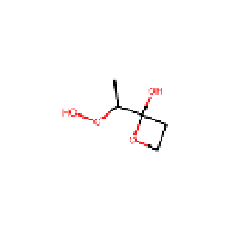 CC(OO)C1(O)CCO1